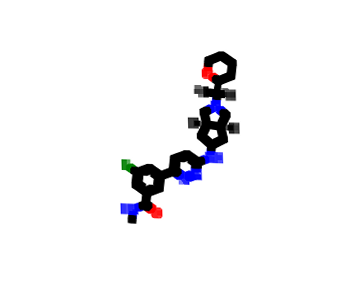 [2H]C([2H])([C@@H]1CCCCO1)N1C[C@H]2CC(Nc3ccc(-c4cc(F)cc(C(=O)NC)c4)nn3)C[C@H]2C1